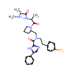 CN[C@@H](C)C(=O)NC(C)C(=O)N1CCCC1CN(CCc1ccc(P)cc1)C(=O)c1ncc(-c2ccccc2)[nH]1